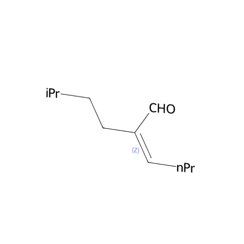 CCC/C=C(\C=O)CCC(C)C